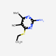 CSc1nc(N)nc(SCC(=O)O)c1C#N